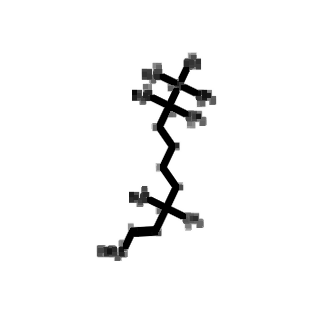 CCOC(=O)/C=C/C(C)(C)CCCCC(C)(C)[Si](C)(C)O